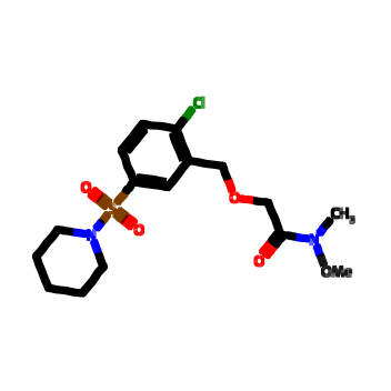 CON(C)C(=O)COCc1cc(S(=O)(=O)N2CCCCC2)ccc1Cl